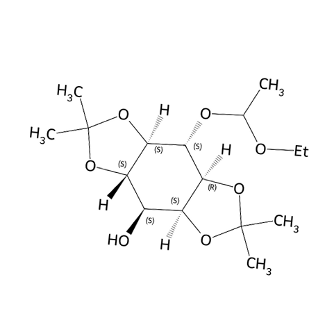 CCOC(C)O[C@@H]1[C@H]2OC(C)(C)O[C@H]2[C@@H](O)[C@@H]2OC(C)(C)O[C@@H]12